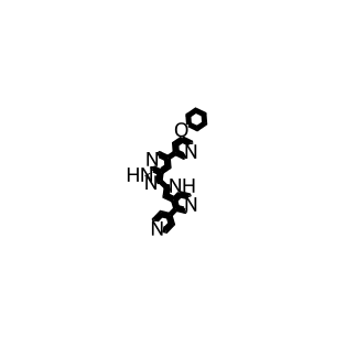 c1cc(-c2cncc3[nH]c(-c4n[nH]c5ncc(-c6cncc(OC7CCCCC7)c6)cc45)cc23)ccn1